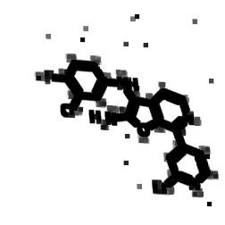 CCc1cc(-c2nccc3c(Nc4ccc(F)c(Cl)c4)c(N)oc23)ccn1